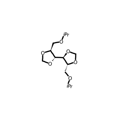 CC(C)OC[C@@H]1OCO[C@H]1[C@H]1OCO[C@@H]1COC(C)C